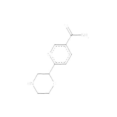 NC(=O)c1ccc(C2CNCCO2)nc1